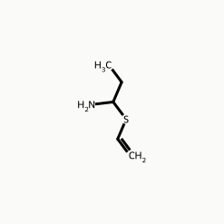 C=CSC(N)CC